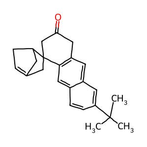 CC(C)(C)c1ccc2cc3c(cc2c1)CC(=O)CC31CC2=CCC1C2